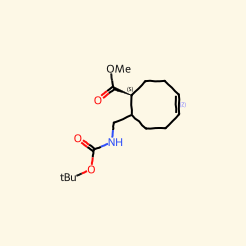 COC(=O)[C@H]1CC/C=C\CCC1CNC(=O)OC(C)(C)C